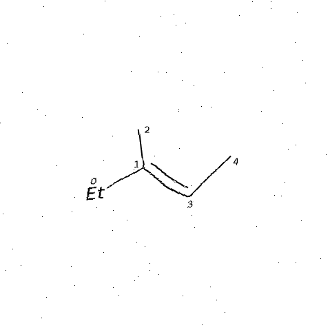 [CH2]C/C(C)=C/C